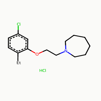 CCc1ccc(Cl)cc1OCCN1CCCCCC1.Cl